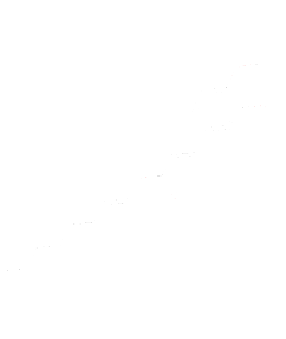 CCCCCCC=COC(=O)C=Cc1ccc(OC)c(OC)c1